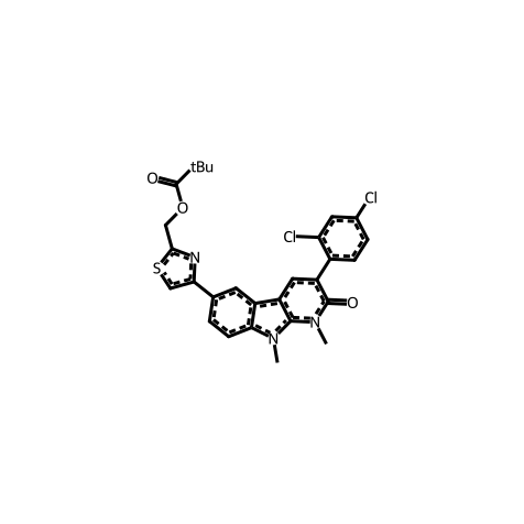 Cn1c(=O)c(-c2ccc(Cl)cc2Cl)cc2c3cc(-c4csc(COC(=O)C(C)(C)C)n4)ccc3n(C)c21